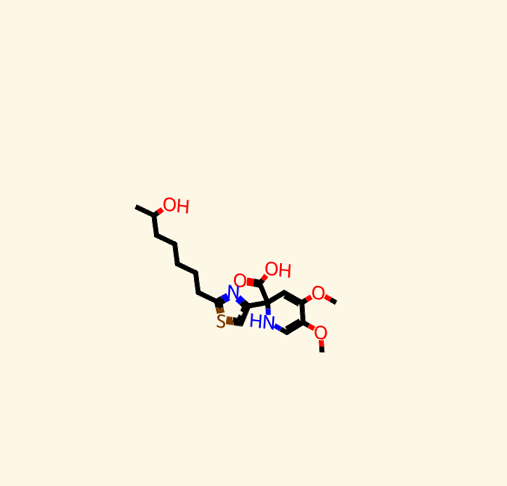 COC1=CNC(C(=O)O)(c2csc(CCCCCC(C)O)n2)C=C1OC